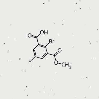 COC(=O)c1cc(F)cc(C(=O)O)c1Br